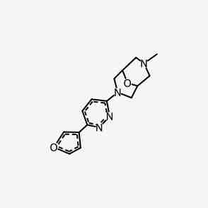 CN1CC2CN(c3ccc(-c4ccoc4)nn3)CC(C1)O2